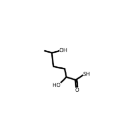 CC(O)CCC(O)C(=O)S